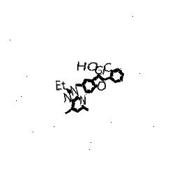 CCc1nc2c(C)cc(C)nc2n1Cc1ccc2oc(-c3ccccc3C(=O)O)c(Cl)c2c1